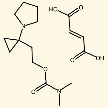 CN(C)C(=O)OCCC1(N2CCCC2)CC1.O=C(O)C=CC(=O)O